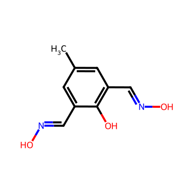 Cc1cc(/C=N/O)c(O)c(/C=N/O)c1